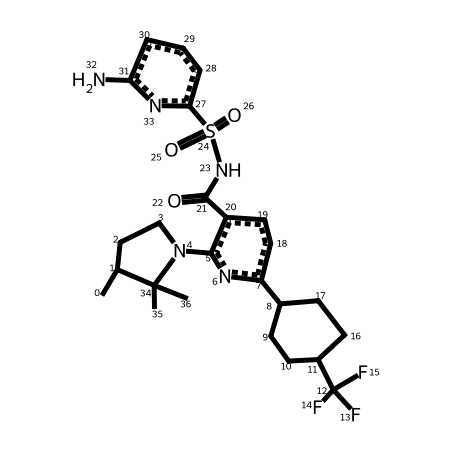 CC1CCN(c2nc(C3CCC(C(F)(F)F)CC3)ccc2C(=O)NS(=O)(=O)c2cccc(N)n2)C1(C)C